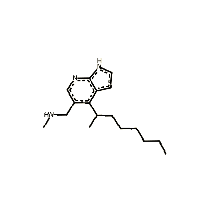 CCCCCCC(C)c1c(CNC)cnc2[nH]ccc12